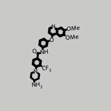 COc1cc2nccc(Oc3cccc(NC(=O)c4ccc(N5CCC(N)CC5)c(C(F)(F)F)c4)c3)c2cc1OC